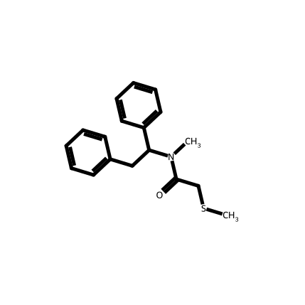 CSCC(=O)N(C)C(Cc1ccccc1)c1ccccc1